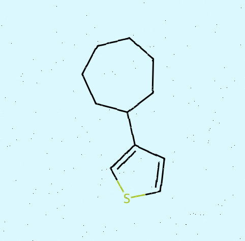 c1cc(C2CCCCCC2)cs1